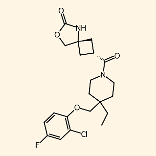 CCC1(COc2ccc(F)cc2Cl)CCN(C(=O)[C@H]2C[C@]3(COC(=O)N3)C2)CC1